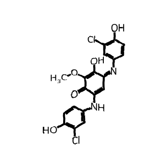 COC1=C(O)/C(=N\c2ccc(O)c(Cl)c2)C=C(Nc2ccc(O)c(Cl)c2)C1=O